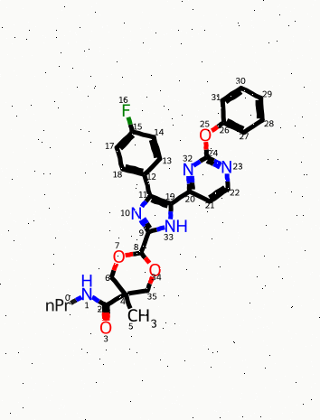 CCCNC(=O)C1(C)COC(c2nc(-c3ccc(F)cc3)c(-c3ccnc(Oc4ccccc4)n3)[nH]2)OC1